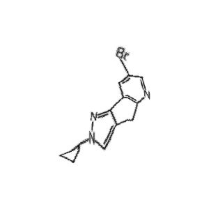 Brc1cnc2c(c1)-c1nn(C3CC3)cc1C2